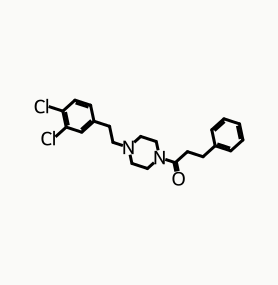 O=C(CCc1ccccc1)N1CCN(CCc2ccc(Cl)c(Cl)c2)CC1